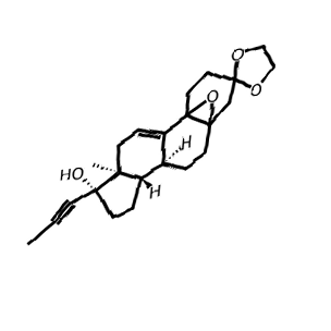 CC#C[C@]1(O)CC[C@H]2[C@@H]3CCC45CC6(CCC4(O5)C3=CC[C@@]21C)OCCO6